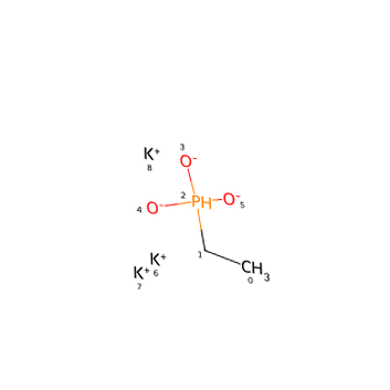 CC[PH]([O-])([O-])[O-].[K+].[K+].[K+]